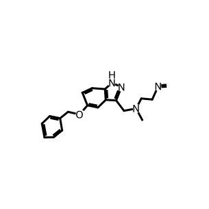 C=NCCN(C)Cc1n[nH]c2ccc(OCc3ccccc3)cc12